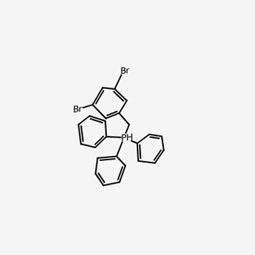 Brc1cc(Br)cc(C[PH](c2ccccc2)(c2ccccc2)c2ccccc2)c1